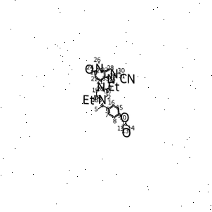 CC[C@H]1CN(C(C)c2ccc(OC3COC3)cc2)[C@H](CC)CN1c1cc(=O)n(C)c2cn(CC#N)nc12